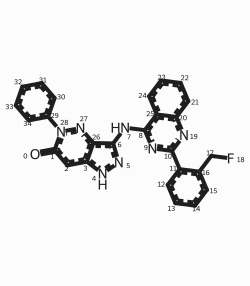 O=c1cc2[nH]nc(Nc3nc(-c4ccccc4CF)nc4ccccc34)c2nn1-c1ccccc1